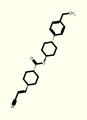 CCc1ccc([C@H]2CC[C@H](OC(=O)[C@H]3CC[C@H](C=CC#N)CC3)CC2)cc1